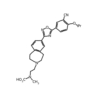 CC(C)Oc1ccc(-c2nc(-c3ccc4c(c3)CCN(CCN(C)C(=O)O)CC4)no2)cc1C#N